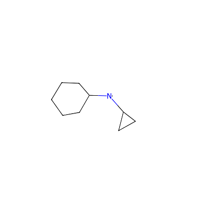 C1CCC([N]C2CC2)CC1